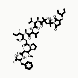 CCC(CC)SC1CC(=O)N(C(C)(C)CC(C)(N)C(=O)N(C)[C@H](C(=O)N[C@H](C(=O)N(C)[C@@H]([C@@H](C)CC)[C@@H](CC(=O)N2CCC[C@H]2[C@H](OC)[C@@H](C)C(=O)N[C@@H](Cc2ccccc2)C(=O)O)OC)C(C)C)C(C)C)C1=O